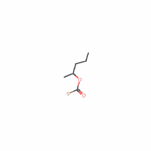 CCCC(C)OC(=O)[S]